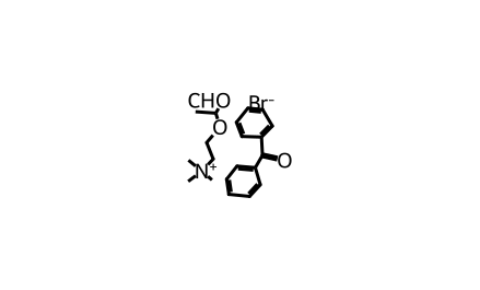 CC(C=O)OCC[N+](C)(C)C.O=C(c1ccccc1)c1ccccc1.[Br-]